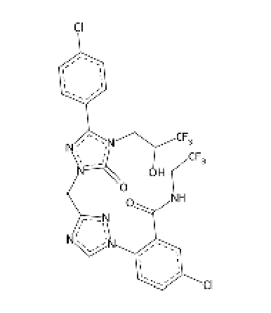 O=C(NCC(F)(F)F)c1cc(Cl)ccc1-n1cnc(Cn2nc(-c3ccc(Cl)cc3)n(CC(O)C(F)(F)F)c2=O)n1